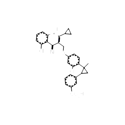 CC1(c2ccc(OC/C(C(=N)c3c(Cl)cccc3Cl)=C(/O)C3CC3)cc2Cl)CC1c1cccc(C(=O)O)c1